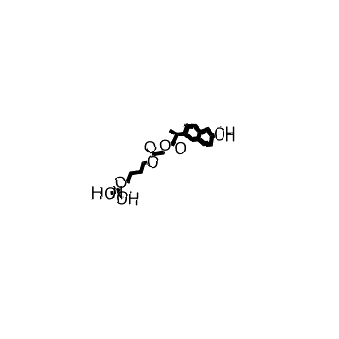 CC(C(=O)OCC(=O)OCCCCON(O)O)c1ccc2cc(O)ccc2c1